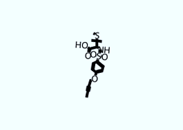 CC#CCOc1ccc(S(=O)(=O)NC(C(=O)O)C(C)(C)SC)cc1